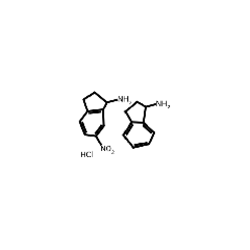 Cl.NC1CCc2ccc([N+](=O)[O-])cc21.NC1CCc2ccccc21